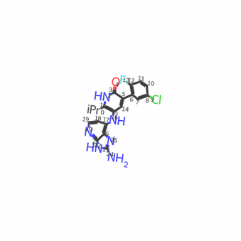 CC(C)c1[nH]c(=O)c(-c2cc(Cl)ccc2F)cc1Nc1ccnc2[nH]c(N)nc12